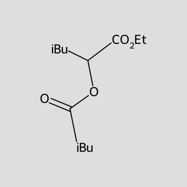 CCOC(=O)C(OC(=O)C(C)CC)C(C)CC